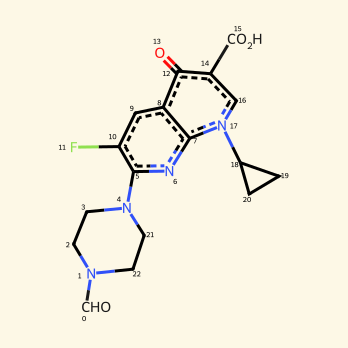 O=CN1CCN(c2nc3c(cc2F)c(=O)c(C(=O)O)cn3C2CC2)CC1